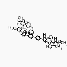 COC(=O)N[C@H](C(=O)N1CCC[C@H]1c1ncc(-c2ccc(-c3ccc(-c4cnc([C@@H]5C[C@@H](C)CN5C(=O)[C@@H](NC(=O)OC)C(C)C)[nH]4)c4c3C3CCC4CC3)cc2)[nH]1)C(C)C